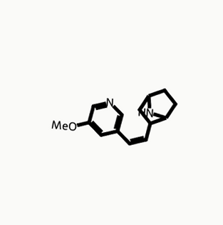 COc1cncc(/C=C\C2CC3CCC2N3)c1